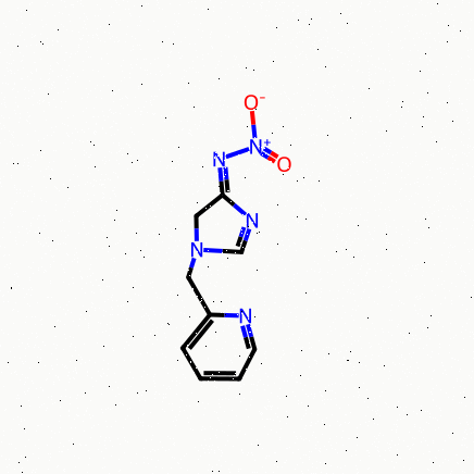 O=[N+]([O-])N=C1CN(Cc2ccccn2)C=N1